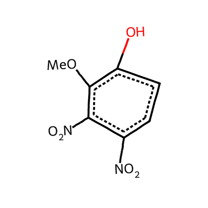 COc1c(O)ccc([N+](=O)[O-])c1[N+](=O)[O-]